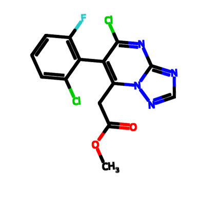 COC(=O)Cc1c(-c2c(F)cccc2Cl)c(Cl)nc2ncnn12